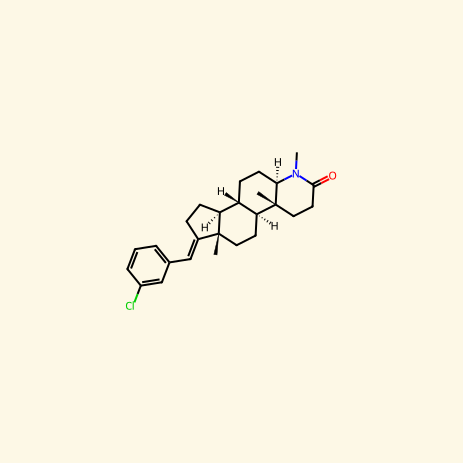 CN1C(=O)CC[C@]2(C)[C@H]3CC[C@]4(C)/C(=C/c5cccc(Cl)c5)CC[C@H]4[C@@H]3CC[C@@H]12